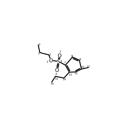 CCCOS(=O)(=O)c1ccc(C)cc1CCC